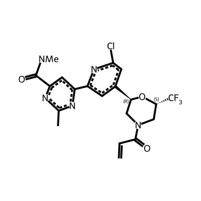 C=CC(=O)N1C[C@@H](c2cc(Cl)nc(-c3cc(C(=O)NC)nc(C)n3)c2)O[C@H](C(F)(F)F)C1